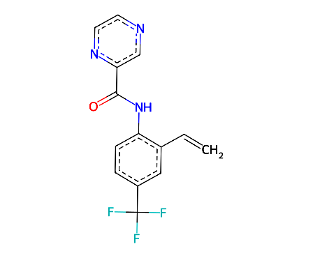 C=Cc1cc(C(F)(F)F)ccc1NC(=O)c1cnccn1